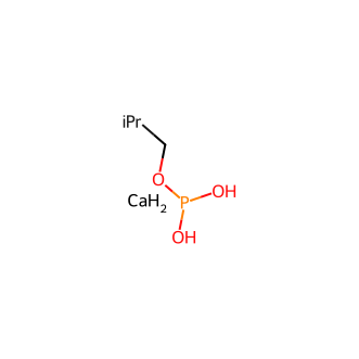 CC(C)COP(O)O.[CaH2]